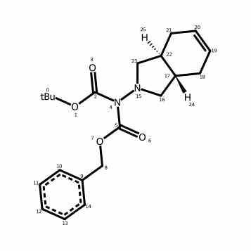 CC(C)(C)OC(=O)N(C(=O)OCc1ccccc1)N1C[C@H]2CC=CC[C@@H]2C1